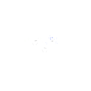 COCCN(CCOC)Cc1[nH]nnc1CN1CCO[C@H](O[C@H](C)c2cc(C(F)(F)F)cc(C(F)(F)F)c2)[C@@H]1c1ccc(F)cc1